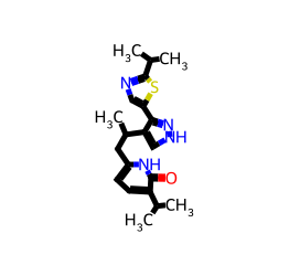 CC(C)c1ncc(-c2n[nH]cc2C(C)Cc2ccc(C(C)C)c(=O)[nH]2)s1